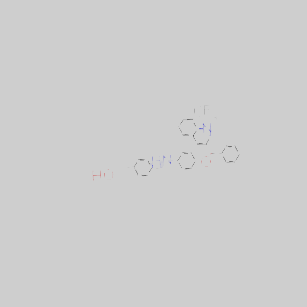 O=C(c1ccccc1)c1cnc2c(C(F)(F)F)cccc2c1-c1cccc(NCc2ccc(CCO)cc2)c1